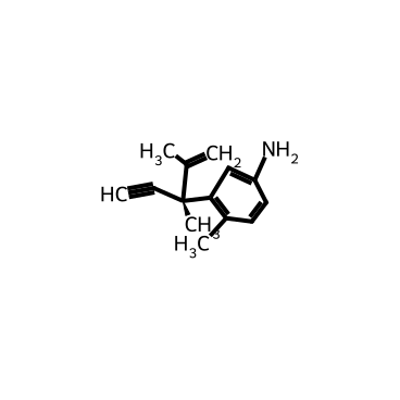 C#C[C@](C)(C(=C)C)c1cc(N)ccc1C